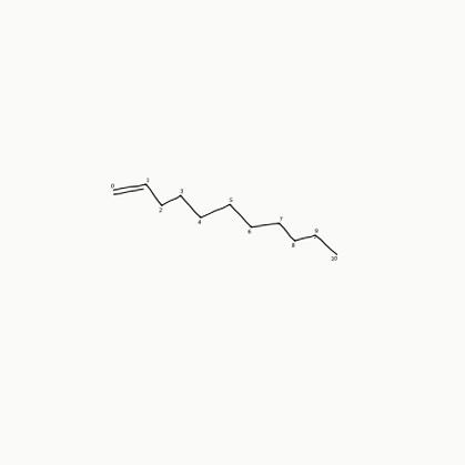 C=CCCCCCCC[CH]C